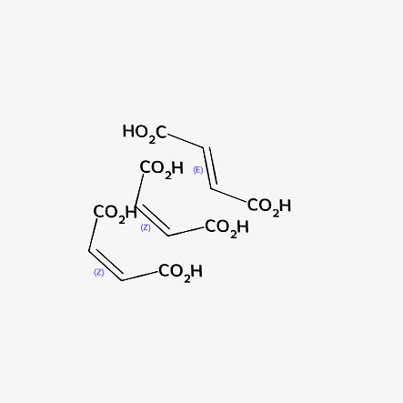 O=C(O)/C=C/C(=O)O.O=C(O)/C=C\C(=O)O.O=C(O)/C=C\C(=O)O